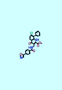 COC(=O)c1[nH]c2c(-c3ccccc3)c(Cl)ccc2c(=O)c1CNC(=O)c1ccc(-c2cnco2)cc1